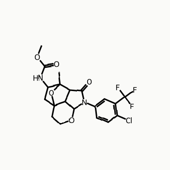 COC(=O)NC1CC23CCOC4C2C(C(=O)N4c2ccc(Cl)c(C(F)(F)F)c2)C1(C)O3